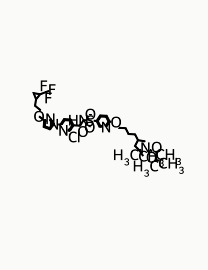 CC(C)(C)OC(=O)N1CC(CCCCOc2ccc(S(=O)(=O)NC(=O)c3ccc(-n4ccc(OCCC5CC5C(F)(F)F)n4)nc3Cl)cn2)CC1(C)C